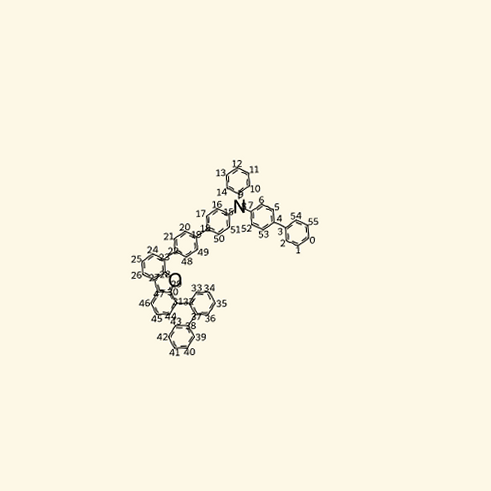 c1ccc(-c2ccc(N(c3ccccc3)c3ccc(-c4ccc(-c5cccc6c5oc5c(-c7ccccc7-c7ccccc7)cccc56)cc4)cc3)cc2)cc1